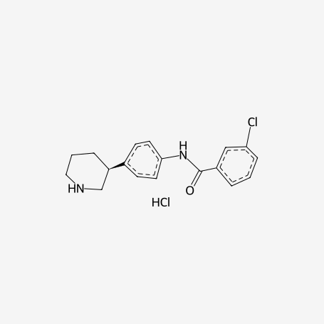 Cl.O=C(Nc1ccc([C@@H]2CCCNC2)cc1)c1cccc(Cl)c1